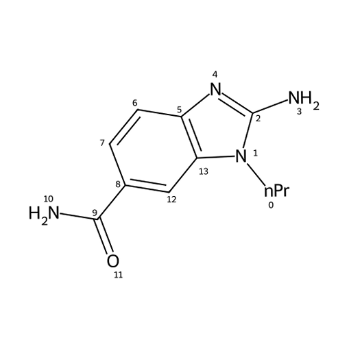 CCCn1c(N)nc2ccc(C(N)=O)cc21